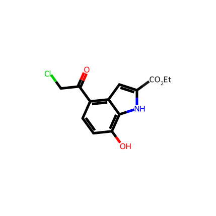 CCOC(=O)c1cc2c(C(=O)CCl)ccc(O)c2[nH]1